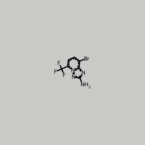 Nc1nc2c(Br)ccc(C(F)(F)F)n2n1